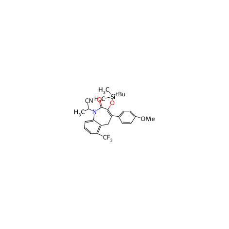 COc1ccc(C2=C(O[Si](C)(C)C(C)(C)C)C(=O)N(C(C)C#N)c3cccc(C(F)(F)F)c3C2)cc1